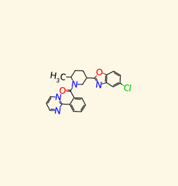 CC1CCC(c2nc3cc(Cl)ccc3o2)CN1C(=O)c1ccccc1-c1ncccn1